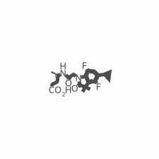 C[C@H](CCC(=O)O)NC(=O)CN1C(=O)C(C)(C)c2c(F)c(C3CC3)cc(F)c21